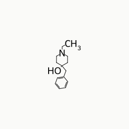 CCN1CCC(O)(Cc2ccccc2)CC1